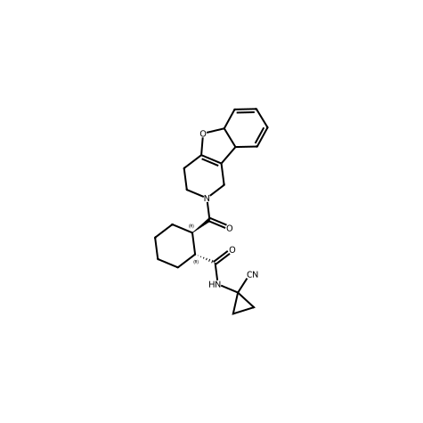 N#CC1(NC(=O)[C@@H]2CCCC[C@H]2C(=O)N2CCC3=C(C2)C2C=CC=CC2O3)CC1